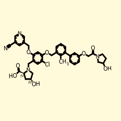 Cc1c(COc2cc(OCc3cncc(C#N)c3)c(CN3C[C@@H](O)C[C@H]3C(=O)O)cc2Cl)cccc1-c1cccc(OCC(=O)N2CCC(O)C2)c1